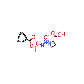 CC(O/N=[N+](\[O-])N1CC[C@H]1C(=O)O)OC(=O)c1ccccc1